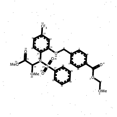 COCOC(=O)c1ccc(COc2cc(C(F)(F)F)ccc2N(C(OC)C(=O)OC)S(=O)(=O)c2ccccc2)cc1